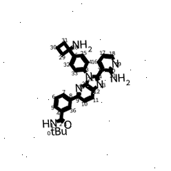 CC(C)(C)NC(=O)c1cccc(-c2ccc3nc(-c4cccnc4N)n(-c4ccc(C5(N)CCC5)cc4)c3n2)c1